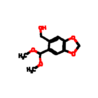 COC(OC)c1cc2c(cc1CO)OCO2